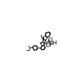 CCCC1=Cc2c(-c3ccc(C(C)CC)cc3)cccc2[CH]1[Zr]([Cl])([Cl])([CH]1C=Cc2ccccc21)[SiH](C)C